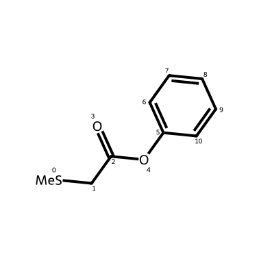 CSCC(=O)Oc1ccccc1